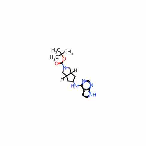 CC(C)(C)OC(=O)N1C[C@H]2C[C@H](Nc3ncnc4[nH]ccc34)C[C@H]2C1